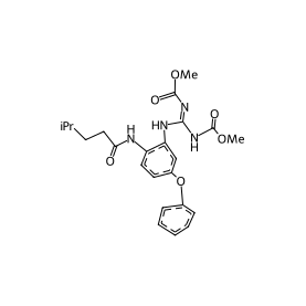 COC(=O)N=C(NC(=O)OC)Nc1cc(Oc2ccccc2)ccc1NC(=O)CCC(C)C